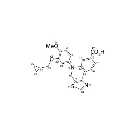 COc1ccc(N(Cc2cncs2)c2cccc(C(=O)O)c2)cc1OCC1CC1